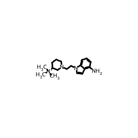 C[N+](C)(C)C1CCCN(CCn2ccc3c(N)cccc32)C1